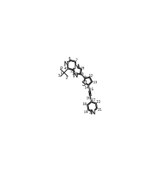 CC(C)(C)c1nccn2[c]c(-c3ccc(C#Cc4ccncc4)s3)nc12